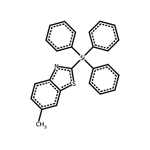 Cc1ccc2nc([Si](c3ccccc3)(c3ccccc3)c3ccccc3)sc2c1